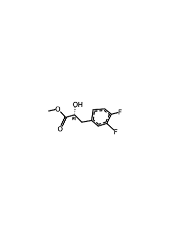 COC(=O)[C@H](O)Cc1ccc(F)c(F)c1